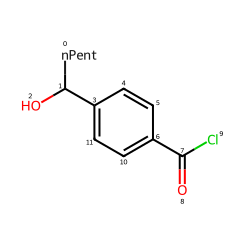 CCCCCC(O)c1ccc(C(=O)Cl)cc1